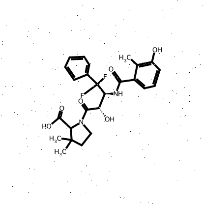 Cc1c(O)cccc1C(=O)N[C@@H]([C@H](O)C(=O)N1CCC(C)(C)C1C(=O)O)C(F)(F)c1ccccc1